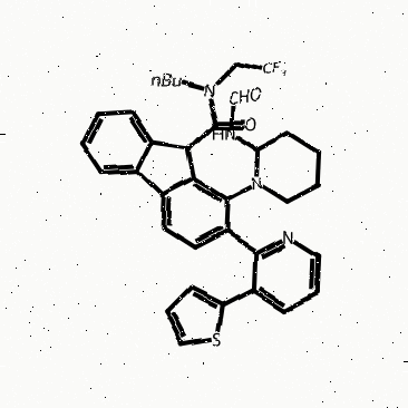 CCCCN(CC(F)(F)F)C(=O)C1c2ccccc2-c2ccc(-c3ncccc3-c3cccs3)c(N3CCCCC3NC=O)c21